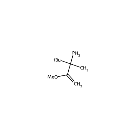 C=C(OC)C(C)(P)C(C)(C)C